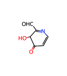 O=CC1=NC=CC(=O)C1O